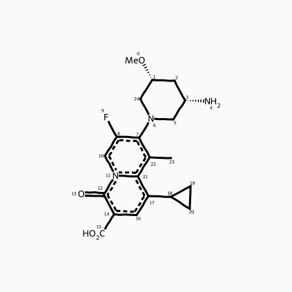 CO[C@@H]1C[C@H](N)CN(c2c(F)cn3c(=O)c(C(=O)O)cc(C4CC4)c3c2C)C1